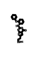 CCCCCCCCCCCCc1cc2c(=O)oc(Nc3ccccc3Oc3ccccc3)nc2s1